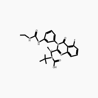 CCNC(=O)Nc1cccc(-n2c([C@H](C)N(C(=O)O)C(C)(C)C)nc3cccc(F)c3c2=O)c1